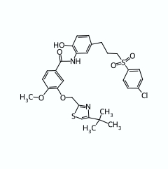 COc1ccc(C(=O)Nc2cc(CCCS(=O)(=O)c3ccc(Cl)cc3)ccc2O)cc1OCc1nc(C(C)(C)C)cs1